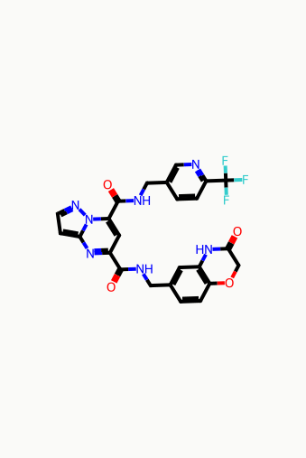 O=C1COc2ccc(CNC(=O)c3cc(C(=O)NCc4ccc(C(F)(F)F)nc4)n4nccc4n3)cc2N1